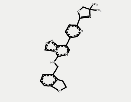 CC1(C)COC(c2ccc(-c3cnc(NCc4cccc5c4CCO5)n4cnnc34)cn2)=N1